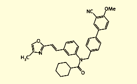 COc1ccc(-c2ccc(CN(C(=O)C3CCCCC3)c3cccc(C=Cc4nc(C)co4)c3)cc2)cc1C#N